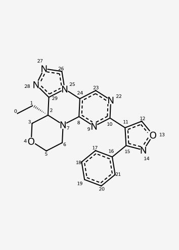 CC[C@@]12COCCN1c1nc(-c3conc3-c3ccccc3)ncc1-n1cnnc12